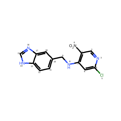 O=[N+]([O-])c1cnc(Cl)cc1NCc1ccc2[nH]cnc2c1